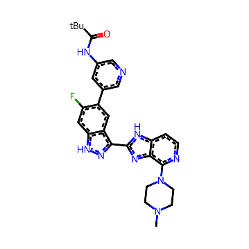 CN1CCN(c2nccc3[nH]c(-c4n[nH]c5cc(F)c(-c6cncc(NC(=O)C(C)(C)C)c6)cc45)nc23)CC1